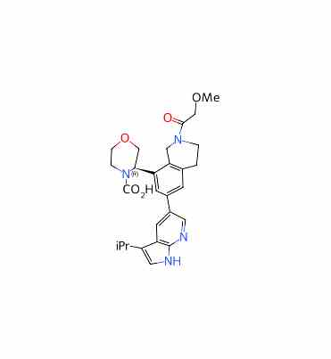 COCC(=O)N1CCc2cc(-c3cnc4[nH]cc(C(C)C)c4c3)cc([C@@H]3COCCN3C(=O)O)c2C1